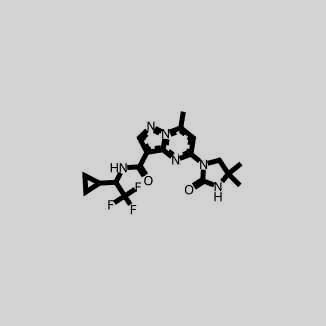 Cc1cc(N2CC(C)(C)NC2=O)nc2c(C(=O)NC(C3CC3)C(F)(F)F)cnn12